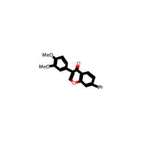 COc1ccc(-c2coc3cc(C(C)C)ccc3c2=O)cc1OC